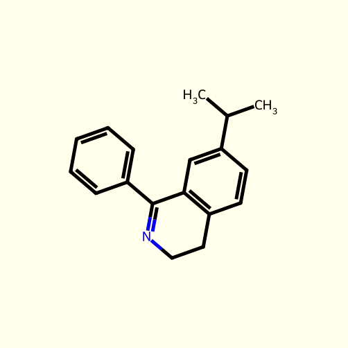 CC(C)c1ccc2c(c1)C(c1ccccc1)=NCC2